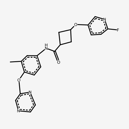 Cc1cc(NC(=O)C2CC(Oc3ccc(F)nc3)C2)ccc1Oc1cnccn1